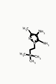 Cc1nn(CC[N+](C)(C)C)c(N)c1N